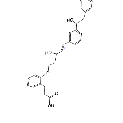 O=C(O)CCc1ccccc1OCCC(O)/C=C/c1cccc(C(O)Cc2ccccc2)c1